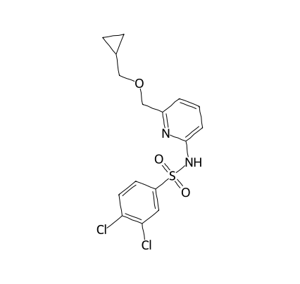 O=S(=O)(Nc1cccc(COCC2CC2)n1)c1ccc(Cl)c(Cl)c1